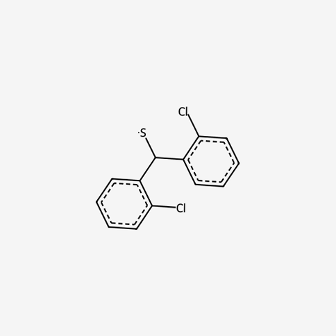 [S]C(c1ccccc1Cl)c1ccccc1Cl